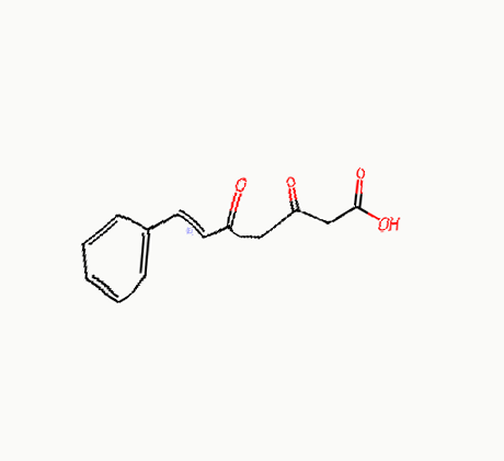 O=C(O)CC(=O)CC(=O)/C=C/c1ccccc1